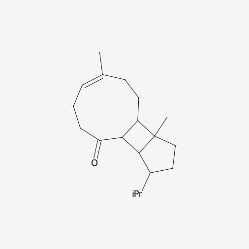 CC1=CCCC(=O)C2C(CC1)C1(C)CCC(C(C)C)C21